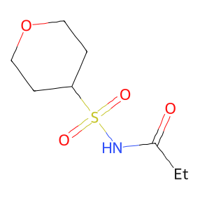 CCC(=O)NS(=O)(=O)C1CCOCC1